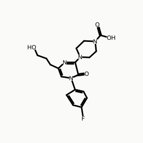 O=C(O)N1CCN(c2nc(CCCO)cn(-c3ccc(F)cc3)c2=O)CC1